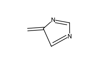 C=C1C=NC=N1